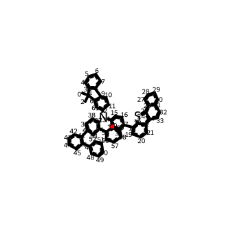 CC1(C)c2ccccc2-c2ccc(N(c3ccc(-c4cccc5c4sc4c6ccccc6ccc54)cc3)c3ccc(-c4ccccc4-c4ccccc4)cc3-c3ccccc3)cc21